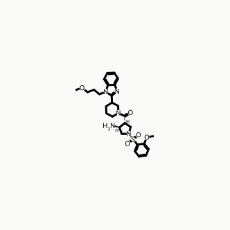 COCCCn1c(C2CCCN(C(=O)[C@@H]3CN(S(=O)(=O)c4ccccc4OC)C[C@H]3N)C2)nc2ccccc21